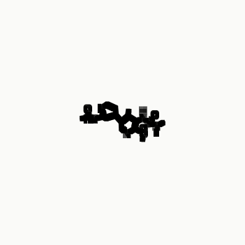 COc1ncc(-c2ccnc(NC(C)=O)c2)c(C)c1NS(=O)(=O)N(C)C